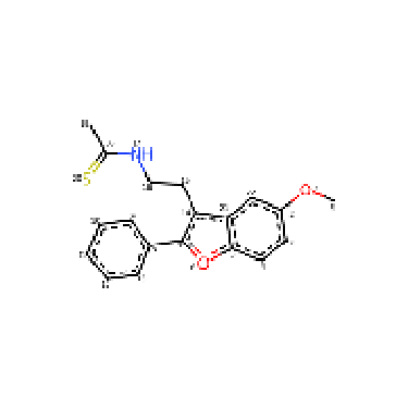 COc1ccc2oc(-c3ccccc3)c(CCNC(C)=S)c2c1